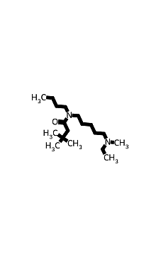 CCCCN(CCCCCN(C)CC)C(=O)CC(C)(C)C